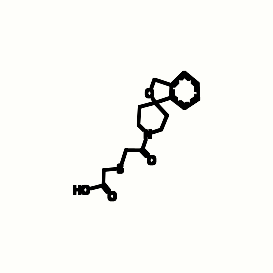 O=C(O)CSCC(=O)N1CCC2(CC1)OCc1ccccc12